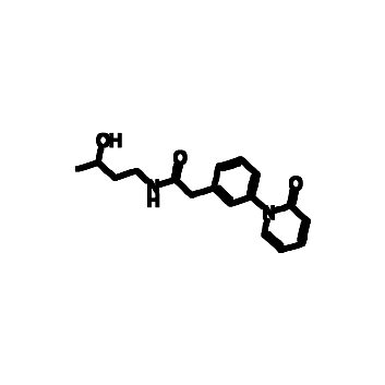 CC(O)CCNC(=O)Cc1cccc(-n2ccccc2=O)c1